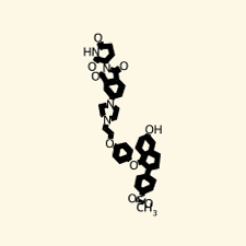 CS(=O)(=O)c1ccc(-c2ccc3cc(O)ccc3c2Oc2ccc(OCCN3CCN(c4ccc5c(c4)C(=O)N(C4CCC(=O)NC4=O)C5=O)CC3)cc2)cc1